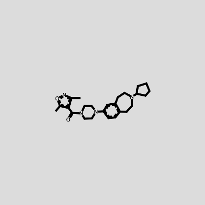 Cc1noc(C)c1C(=O)N1CCN(c2ccc3c(c2)CCN(C2CCCC2)CC3)CC1